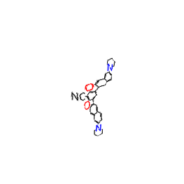 N#Cc1c2oc3cc4cc(N5CCCCC5)ccc4cc3c2cc2c1oc1cc3cc(N4CCCCC4)ccc3cc12